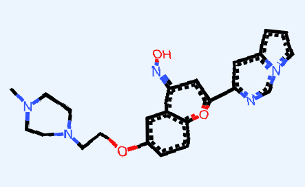 CN1CCN(CCOc2ccc3oc(-c4cc5cccn5cn4)c/c(=N\O)c3c2)CC1